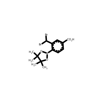 CC1(C)OB(c2ccc(C(=O)O)cc2C(Br)Br)OC1(C)C